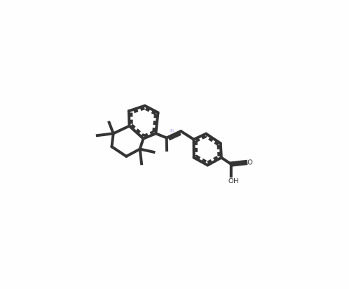 C/C(=C\c1ccc(C(=O)O)cc1)c1cccc2c1C(C)(C)CCC2(C)C